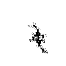 CCCCC(CC)COC(=O)c1ccc(C(c2ccc(C(=O)OCC(CC)CCCC)cc2C(=O)OCC(CC)CCCC)(C(F)(F)F)C(F)(F)F)c(C(=O)OCC(CC)CCCC)c1